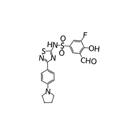 O=Cc1cc(S(=O)(=O)Nc2nc(-c3ccc(N4CCCC4)cc3)ns2)cc(F)c1O